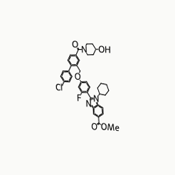 COC(=O)c1ccc2c(c1)nc(-c1ccc(OCc3cc(C(=O)N4CCC(O)CC4)ccc3-c3ccc(Cl)cc3)cc1F)n2C1CCCCC1